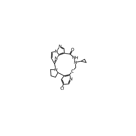 O=C1NN(C2CC2)CCc2ncc(Cl)cc2C2CCCN2c2ccn3ncc1c3n2